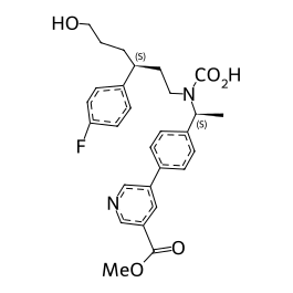 COC(=O)c1cncc(-c2ccc([C@H](C)N(CC[C@H](CCCO)c3ccc(F)cc3)C(=O)O)cc2)c1